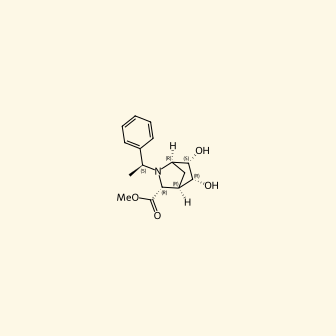 COC(=O)[C@H]1[C@H]2C[C@H]([C@H](O)[C@@H]2O)N1[C@@H](C)c1ccccc1